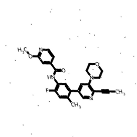 CC#Cc1ncc(-c2cc(NC(=O)c3ccnc(OC)c3)c(F)cc2C)cc1N1CCOCC1